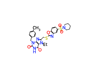 CCn1c(CSc2nc3cc(S(=O)(=O)N4CCCCC4)ccc3o2)nc2c1c(=O)[nH]c(=O)n2Cc1ccc(C)cc1